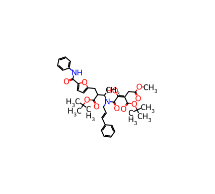 COC(=O)CC(C(=O)OC(C)(C)C)=C(O)C(=O)N(CC=Cc1ccccc1)C(C)C(Cc1ccc(C(=O)Nc2ccccc2)o1)C(=O)OC(C)(C)C